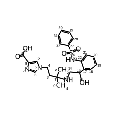 CC(C)(CCn1cnc(C(=O)O)c1)NCC(O)c1ccccc1NS(=O)(=O)c1ccccc1